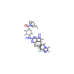 COc1nc(NC2CCC(C(=O)N(C)C)CC2)nc2[nH]cc(-c3cc(F)c4nccn4c3)c12